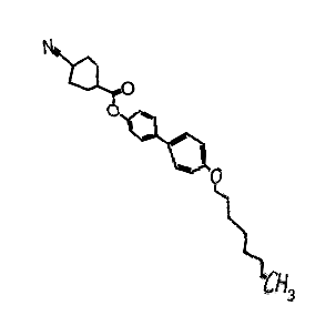 CCCCCCCCOc1ccc(-c2ccc(OC(=O)C3CCC(C#N)CC3)cc2)cc1